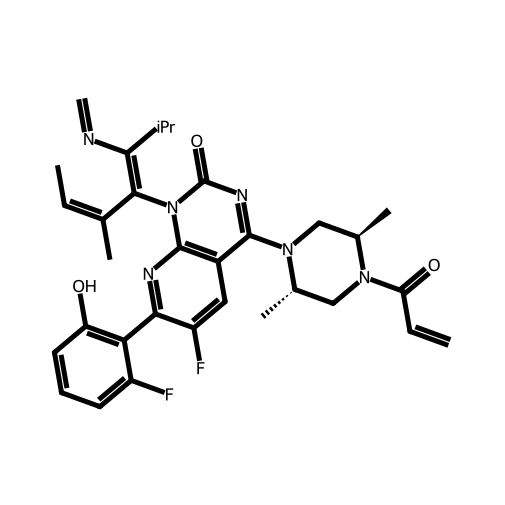 C=CC(=O)N1C[C@H](C)N(c2nc(=O)n(C(/C(C)=C\C)=C(/N=C)C(C)C)c3nc(-c4c(O)cccc4F)c(F)cc23)C[C@H]1C